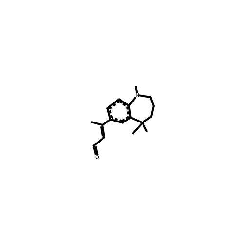 CC(=CC=O)c1ccc2c(c1)C(C)(C)CCCN2C